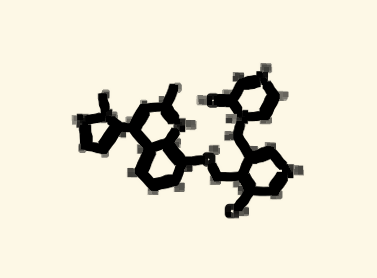 Cc1cc(-c2ccnn2C)c2cccc(OCc3c(Cl)cncc3Cn3ccncc3=O)c2n1